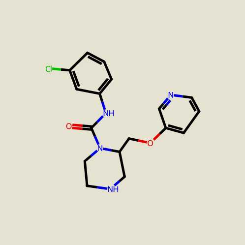 O=C(Nc1cccc(Cl)c1)N1CCNCC1COc1cccnc1